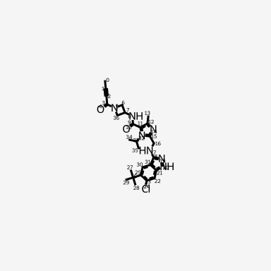 CC#CC(=O)N1CC(NC(=O)c2c(C)nc(CNc3n[nH]c4cc(Cl)c(C(C)(C)C)cc34)n2C(C)C)C1